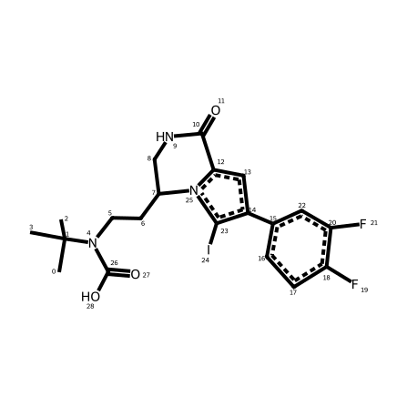 CC(C)(C)N(CCC1CNC(=O)c2cc(-c3ccc(F)c(F)c3)c(I)n21)C(=O)O